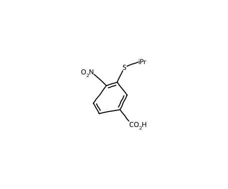 CC(C)Sc1cc(C(=O)O)ccc1[N+](=O)[O-]